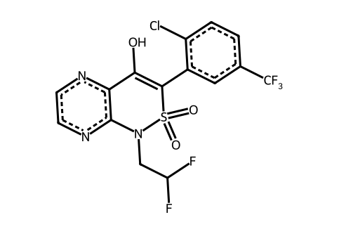 O=S1(=O)C(c2cc(C(F)(F)F)ccc2Cl)=C(O)c2nccnc2N1CC(F)F